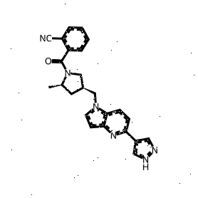 C[C@@H]1C[C@H](Cn2ccc3nc(-c4cn[nH]c4)ccc32)CN1C(=O)c1ccccc1C#N